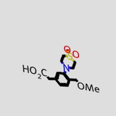 COCc1ccc(CC(=O)O)cc1N1CCS(=O)(=O)CC1